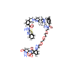 Cc1c(-c2ccc(N3CCc4cccc(C(=O)Nc5nc6ccccc6s5)c4C3)nc2C(=O)O)cnn1CC12CC3CC1CC(C(=O)NCCOCCOCCOCCNc1cccc4c1C(=O)N(C1CCC(=O)NC1=O)C4=O)(C3)C2